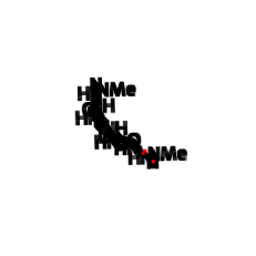 C/N=C(/NC)NCCCNC(=O)c1ccc2[nH]c(C(=O)Nc3ccc4[nH]c(C(=O)NCCN/C(=N\C)NC)cc4c3)cc2c1